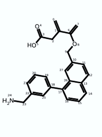 C=C(CC(=O)O)C(=C)OCc1ccc2cccc(-c3cccc(CN)c3)c2c1